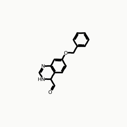 O=CC1NC=Nc2cc(OCc3ccccc3)ccc21